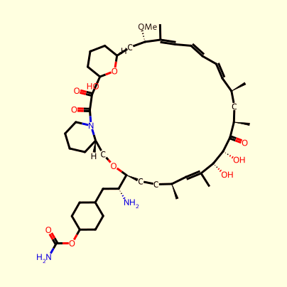 CO[C@H]1C[C@@H]2CCC[C@@](O)(O2)C(=O)C(=O)N2CCCC[C@H]2CO[C@H]([C@H](N)CC2CCC(OC(N)=O)CC2)CC[C@H](C)/C=C(\C)[C@@H](O)[C@@H](O)C(=O)[C@H](C)C[C@H](C)/C=C/C=C/C=C/1C